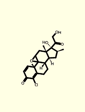 C[C@H]1C[C@H]2[C@@H]3CCC4=C(Cl)C(=O)C=C[C@]4(C)C34OC4C[C@]2(C)[C@@]1(O)C(=O)CO